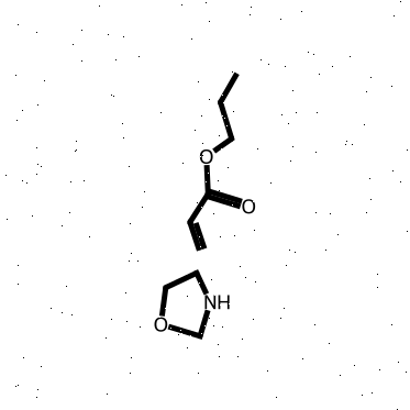 C1COCN1.C=CC(=O)OCCC